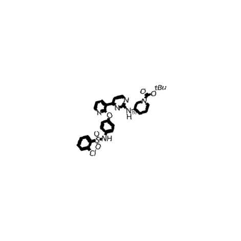 CC(C)(C)OC(=O)N1CCC[C@H](Nc2nccc(-c3cccnc3Oc3ccc(NS(=O)(=O)c4ccccc4Cl)cc3)n2)C1